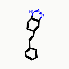 [c]1c(C=Cc2ccccc2)ccc2[nH]nnc12